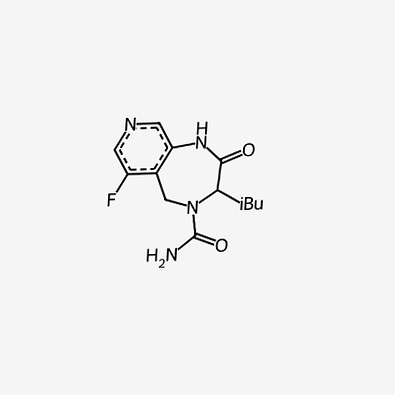 CCC(C)C1C(=O)Nc2cncc(F)c2CN1C(N)=O